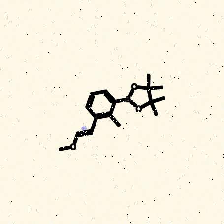 CO/C=C/c1cccc(B2OC(C)(C)C(C)(C)O2)c1C